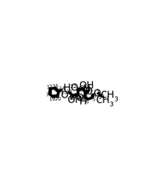 CC(C)O[C@@H]1CC[C@@H]2O[C@@H]([C@@H](O)COCc3ccccc3)[C@@H](O)[C@@H](O)[C@H]2O1